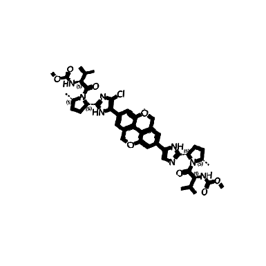 COC(=O)N[C@H](C(=O)N1[C@@H](C)CC[C@H]1c1ncc(-c2cc3c4c(c2)OCc2cc(-c5[nH]c([C@@H]6CC[C@H](C)N6C(=O)[C@@H](NC(=O)OC)C(C)C)nc5Cl)cc(c2-4)OC3)[nH]1)C(C)C